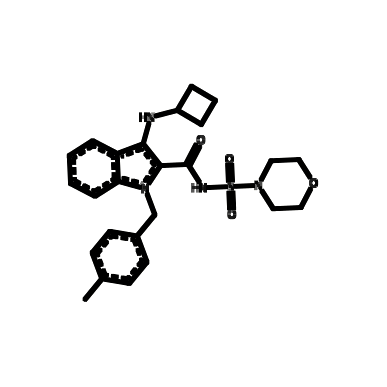 Cc1ccc(Cn2c(C(=O)NS(=O)(=O)N3CCOCC3)c(NC3CCC3)c3ccccc32)cc1